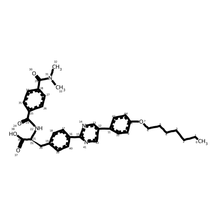 CCCCCCCOc1ccc(-c2cnc(-c3ccc(C[C@H](NC(=O)c4ccc(C(=O)N(C)C)cc4)C(=O)O)cc3)nc2)cc1